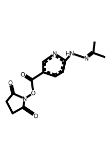 CC(C)=NNc1ccc(C(=O)ON2C(=O)CCC2=O)cn1